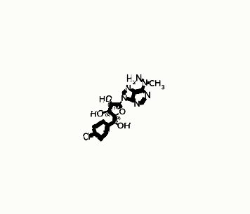 CN(N)c1ncnc2c1ncn2[C@@H]1O[C@H]([C@H](O)c2ccc(Cl)cc2)[C@@H](O)[C@H]1O